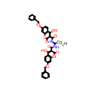 O=C(NC(NC(=O)c1c(O)c2ccc(OCc3ccccc3)cc2oc1=O)C(=O)O)c1c(O)c2ccc(OCc3ccccc3)cc2oc1=O